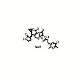 Cc1nn(C)c(SCC(=O)N[C@@H]2C(=O)N3C(C(=O)O)=C(C(=C4CCNC4=O)C4CC4)CS[C@H]23)nc1=O.[NaH]